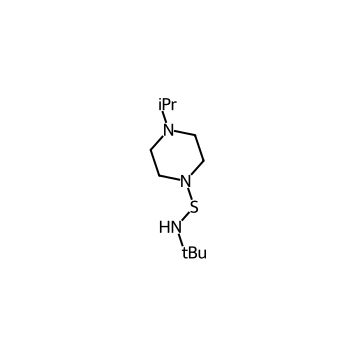 CC(C)N1CCN(SNC(C)(C)C)CC1